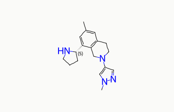 Cc1cc2c(c([C@@H]3CCCN3)c1)CN(c1cnn(C)c1)CC2